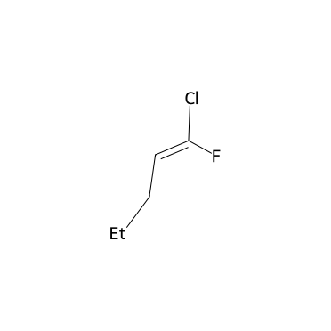 CCC/C=C(\F)Cl